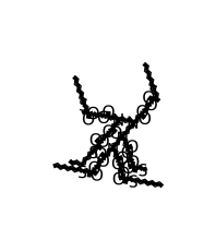 CCCCCCCCSCC(C)C(=O)OCCOC(=O)CCN(CCCCN(CCCN(CCC(=O)OCCOC(=O)C(C)CSCCCCCCCC)CCC(=O)OCCOC(=O)C(C)CSCCCCCCCC)CCC(=O)OCCOC(=O)C(C)CSC)CCCN(CCC(=O)OCCOC(=O)C(C)CSCCCCCCCC)CCC(=O)OCCOC(=O)C(C)CSCCCCCCCC